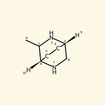 CC1N[C@H]2CC[C@@H]1NC2